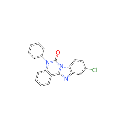 O=c1n(-c2ccccc2)c2ccccc2c2nc3cc(Cl)ccc3n12